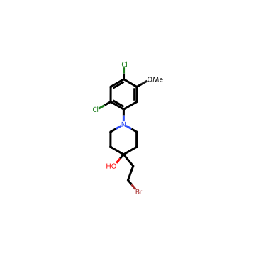 COc1cc(N2CCC(O)(CCBr)CC2)c(Cl)cc1Cl